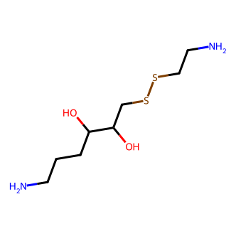 NCCCC(O)C(O)CSSCCN